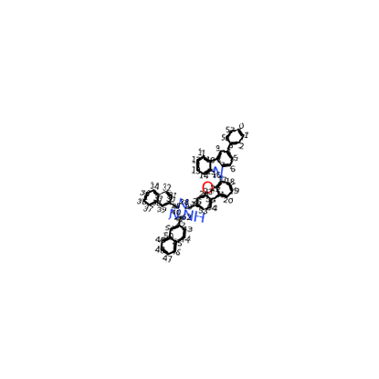 c1ccc(-c2ccc3c(c2)c2ccccc2n3-c2cccc3c2oc2cc(C4N=C(c5ccc6ccccc6c5)N=C(c5ccc6ccccc6c5)N4)ccc23)cc1